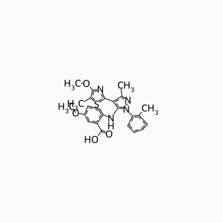 COc1ccc(Nc2c(-c3nc(OC)c(C)s3)c(C)nn2-c2ccccc2C)c(C(=O)O)c1